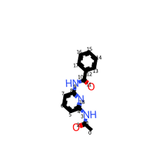 CC(=O)Nc1cccc(NC(=O)c2ccccc2)n1